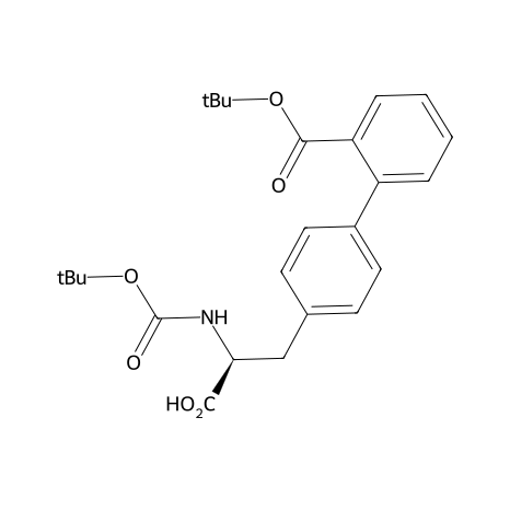 CC(C)(C)OC(=O)N[C@@H](Cc1ccc(-c2ccccc2C(=O)OC(C)(C)C)cc1)C(=O)O